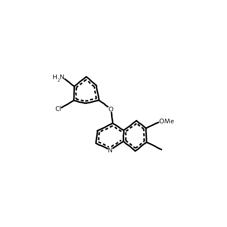 COc1cc2c(Oc3ccc(N)c(Cl)c3)ccnc2cc1C